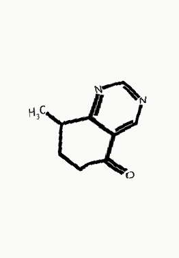 CC1CCC(=O)c2cncnc21